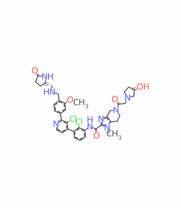 COc1cc(-c2nccc(-c3cccc(NC(=O)c4nc5c(n4C)CCN(C(=O)CN4CC[C@H](O)C4)C5)c3Cl)c2Cl)ccc1CNC[C@@H]1CCC(=O)N1